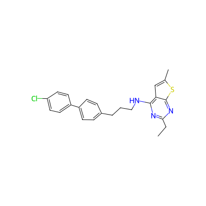 CCc1nc(NCCCc2ccc(-c3ccc(Cl)cc3)cc2)c2cc(C)sc2n1